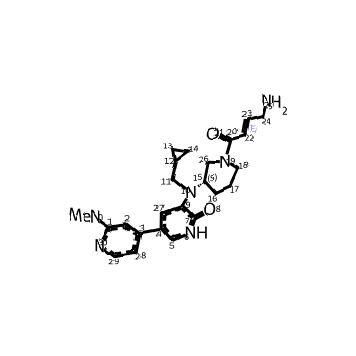 CNc1cc(-c2c[nH]c(=O)c(N(CC3CC3)[C@H]3CCCN(C(=O)/C=C/CN)C3)c2)ccn1